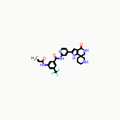 C=CC(=O)Nc1cc(C(=O)Nc2cc(-c3cc4c([nH]3)C3(CCCNC3)CNC4=O)ccn2)cc(C(F)(F)F)c1